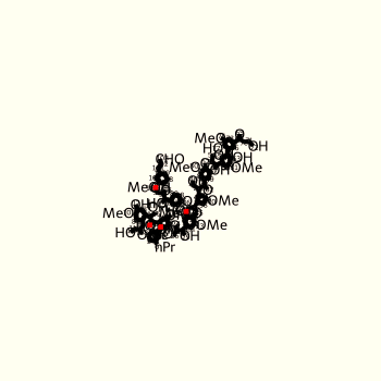 CCCc1ccc(OC(c2cc(OC)c(O)cc2C(CO)C(O)c2ccc(OC(CO)C(O)c3cc(OC)c(OC(c4cc(OC)c5c(c4)C(CO)C(c4ccc(OC(CO)C(O)c6cc(OC)c(O)c(-c7cc(C(=O)CCO)cc(OC)c7O)c6)c(OC)c4)O5)C(CO)Oc4ccc(C(O)C(CO)Oc5ccc(C=CC=O)cc5OC)cc4)c(OC)c3)c(OC)c2)C(CO)OC)c(OC)c1